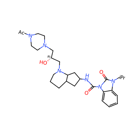 CC(=O)N1CCN(C[C@@H](O)CN2CCCC3CC(NC(=O)n4c(=O)n(C(C)C)c5ccccc54)CC32)CC1